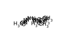 COC(=O)c1cnc(N2CCN(CC3CCN(c4ccc(C(=O)NC5C(C)(C)C(Oc6ccc(C#N)c(OC)c6)C5(C)C)cc4)CC3)CC2)cn1